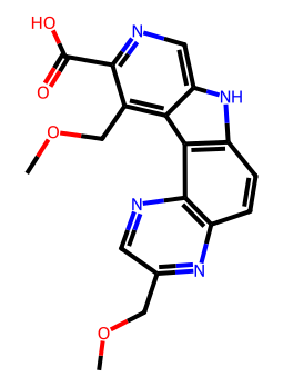 COCc1cnc2c(ccc3[nH]c4cnc(C(=O)O)c(COC)c4c32)n1